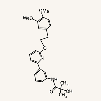 COc1ccc(CCOc2cccc(-c3cccc(NC(=O)C(C)(C)O)c3)n2)cc1OC